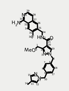 COCc1nn(Cc2ccc(Cn3cc(C)cn3)cc2)cc1C(=O)NCc1cc2ccnc(N)c2cc1F